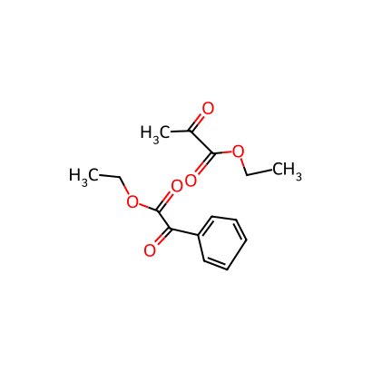 CCOC(=O)C(=O)c1ccccc1.CCOC(=O)C(C)=O